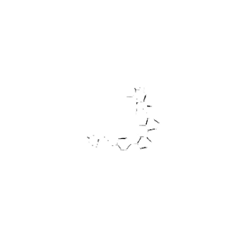 COc1cc(-c2cccc(-c3cccc(NC(=O)c4c[nH]c(=O)n(C)c4=O)c3C)c2C)cc(F)c1CN[C@@H]1CNC(=O)C1